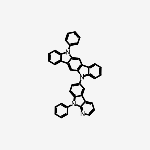 c1ccc(-n2c3ccccc3c3cc4c(cc32)c2ccccc2n4-c2ccc3c(c2)c2cccnc2n3-c2ccccc2)cc1